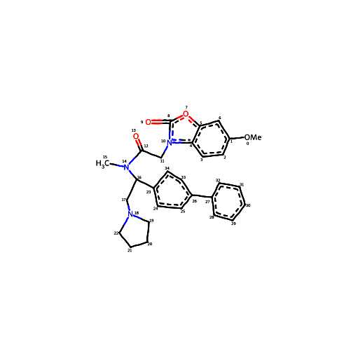 COc1ccc2c(c1)oc(=O)n2CC(=O)N(C)C(CN1CCCC1)c1ccc(-c2ccccc2)cc1